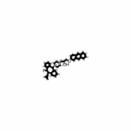 O[C@@H](COc1ccc2cc3ccccc3cc2c1)CN1CCN(C2c3ccccc3C(F)C(C3CC3)c3ccccc32)CC1